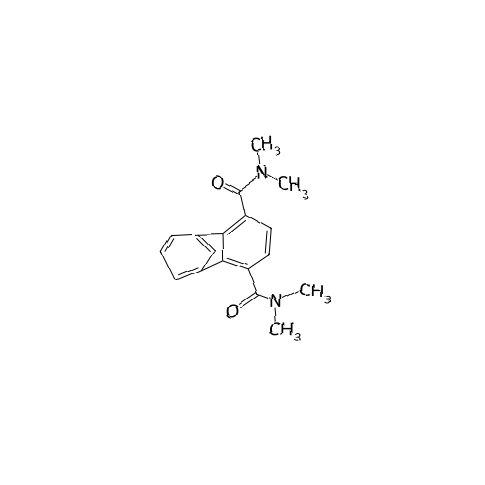 CN(C)C(=O)c1ccc(C(=O)N(C)C)c2c1-c1cccc-2c1